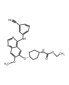 C#Cc1cccc(Nc2ncnc3cc(OC)c(O[C@H]4CC[C@H](NC(=O)OCC)CC4)cc23)c1